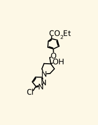 CCOC(=O)c1ccc(OCC2(O)CCN(c3ccc(Cl)nn3)CC2)cc1